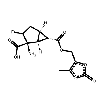 Cc1oc(=O)oc1COC(=O)[C@H]1[C@@H]2C[C@H](F)[C@@](N)(C(=O)O)[C@@H]21